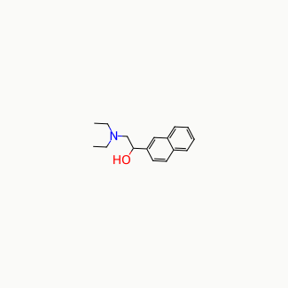 CCN(CC)CC(O)c1ccc2ccccc2c1